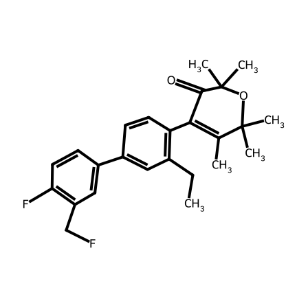 CCc1cc(-c2ccc(F)c(CF)c2)ccc1C1=C(C)C(C)(C)OC(C)(C)C1=O